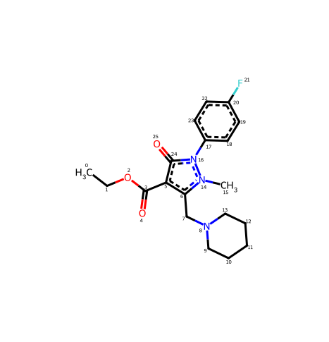 CCOC(=O)c1c(CN2CCCCC2)n(C)n(-c2ccc(F)cc2)c1=O